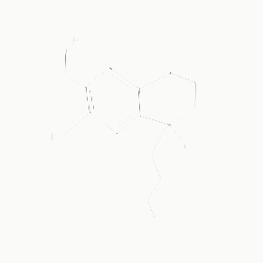 COc1cc2c(cc1Br)C(C)(CCCCl)OCC2